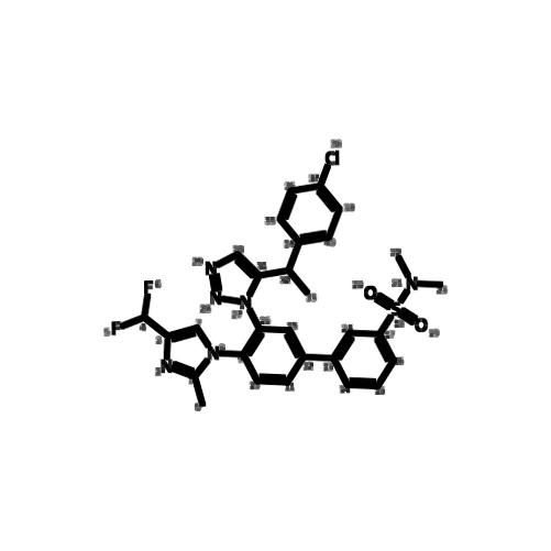 Cc1nc(C(F)F)cn1-c1ccc(-c2cccc(S(=O)(=O)N(C)C)c2)cc1-n1nncc1C(C)c1ccc(Cl)cc1